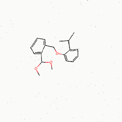 COC(OC)c1ccccc1COc1ccccc1C(C)C